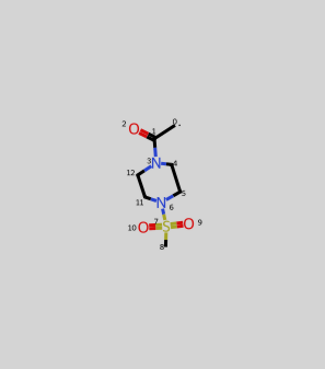 [CH2]C(=O)N1CCN(S(C)(=O)=O)CC1